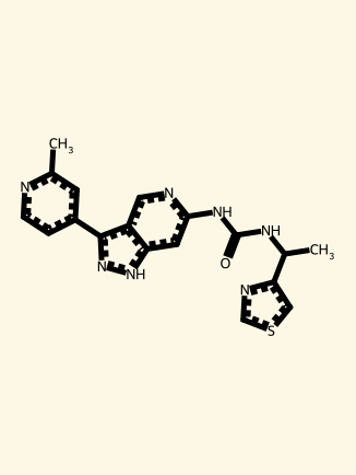 Cc1cc(-c2n[nH]c3cc(NC(=O)NC(C)c4cscn4)ncc23)ccn1